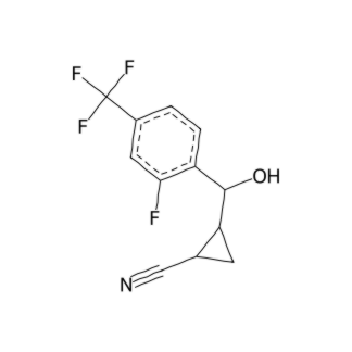 N#CC1CC1C(O)c1ccc(C(F)(F)F)cc1F